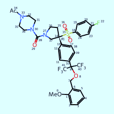 COc1ccccc1COC(c1ccc([C@]2(S(=O)(=O)c3ccc(F)cc3)CCN(C(=O)N3CCN(C(C)=O)CC3)C2)cc1)(C(F)(F)F)C(F)(F)F